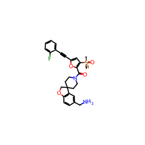 C[SH](C)(=O)c1cc(C#Cc2ccccc2F)oc1C(=O)N1CCC2(CC1)COc1ccc(CN)cc12